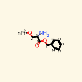 CCCOC[C@H](N)C(=O)OCc1ccccc1